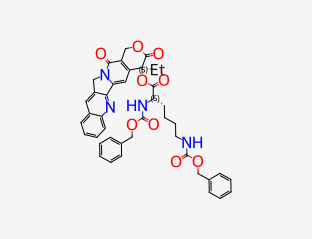 CC[C@@]1(OC(=O)[C@H](CCCCNC(=O)OCc2ccccc2)NC(=O)OCc2ccccc2)C(=O)OCc2c1cc1n(c2=O)Cc2cc3ccccc3nc2-1